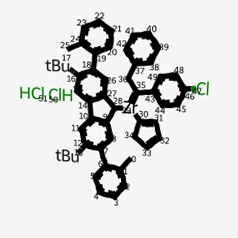 Cc1ccccc1-c1cc2c(cc1C(C)(C)C)-c1cc(C(C)(C)C)c(-c3ccccc3C)cc1[CH]2/[Zr]([C]1=CC=CC1)=[C](\Cc1ccccc1)c1ccc(Cl)cc1.Cl.Cl